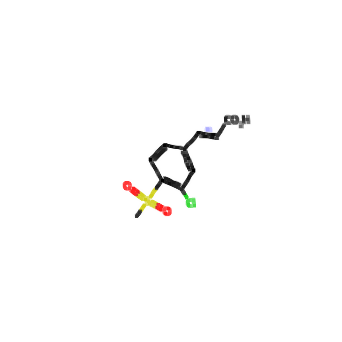 CS(=O)(=O)c1ccc(/C=C/C(=O)O)cc1Cl